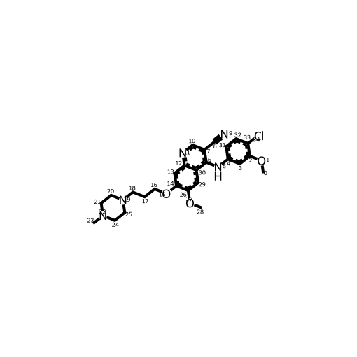 COc1cc(Nc2c(C#N)cnc3cc(OCCCN4CCN(C)CC4)c(OC)cc23)ccc1Cl